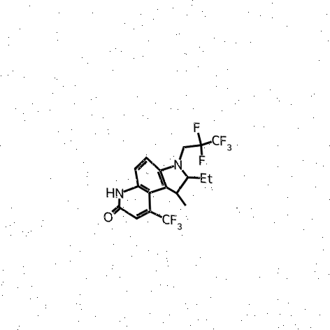 CCC1C(C)c2c(ccc3[nH]c(=O)cc(C(F)(F)F)c23)N1CC(F)(F)C(F)(F)F